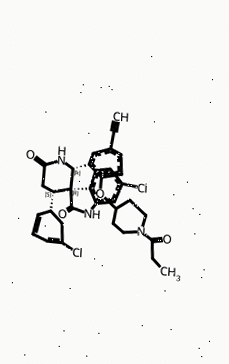 C#Cc1ccc(OC2CCN(C(=O)CC)CC2)c([C@H]2NC(=O)C[C@@H](C3C=CC=C(Cl)C3)[C@]23C(=O)Nc2cc(Cl)ccc23)c1